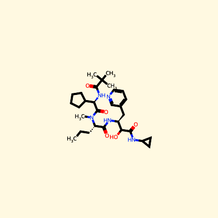 CCC[C@@H](C(=O)N[C@@H](Cc1cccnc1)C(O)C(=O)NC1CC1)N(C)C(=O)[C@H](NC(=O)C(C)(C)C)C1CCCC1